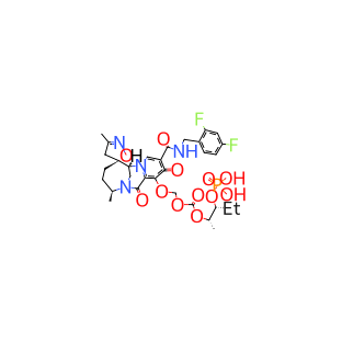 CC[C@@H](OP(=O)(O)O)[C@H](C)OC(=O)OCOc1c2n(cc(C(=O)NCc3ccc(F)cc3F)c1=O)[C@@H]1CN(C2=O)[C@@H](C)CC[C@]12CC(C)=NO2